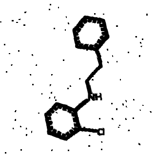 Clc1ccccc1NCCc1ccccc1